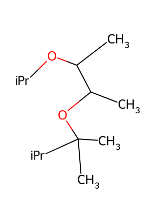 CC(C)OC(C)C(C)OC(C)(C)C(C)C